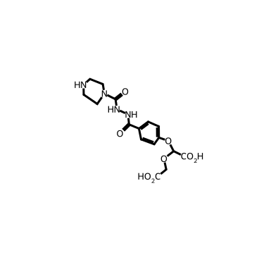 O=C(O)COC(Oc1ccc(C(=O)NNC(=O)N2CCNCC2)cc1)C(=O)O